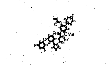 C=CC(=O)Nc1cc(Nc2cc(N3OCCC3c3cc(F)cc(Oc4cc(F)cc(F)c4)c3)ncn2)c(OC)cc1N1CCN(C)CC1